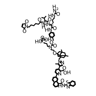 Cc1c(-c2ccc(-c3ccc4cccc(C(=O)Nc5nc6ccccc6s5)c4c3)nc2C(=O)O)cnn1CC12CC3(C)CC(C)(C1)CC(OCCN(CCCP(=O)(O)O)C(=O)OCc1ccc(NC(=O)[C@H](CCCNC(N)=O)NC(=O)[C@@H](NC(=O)CCCCCN4C(=O)C=CC4=O)C(C)C)cc1)(C3)C2